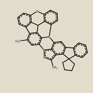 Cc1cc2c3c4c1-c1cccc5c1C4c1c(cccc1B3c1cc3c(c4c(C)nn-2c14)C1(CCCC1)c1ccccc1-3)O5